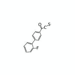 O=C(C[S])c1ccc(-c2ccccc2F)cc1